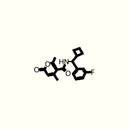 Cc1cc(=O)oc(C)c1C(=O)N[C@H](c1cccc(F)c1)C1CCC1